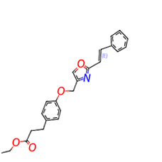 CCOC(=O)CCc1ccc(OCc2coc(/C=C/c3ccccc3)n2)cc1